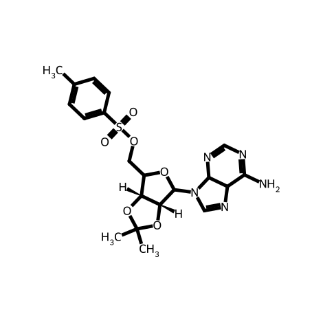 Cc1ccc(S(=O)(=O)OCC2OC(N3C=NC4C(N)=NC=NC43)[C@@H]3OC(C)(C)O[C@H]23)cc1